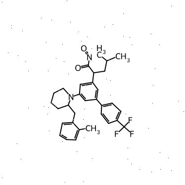 Cc1ccccc1CC1CCCCN1c1cc(-c2ccc(C(F)(F)F)cc2)cc(C(CC(C)C)C(=O)N=O)c1